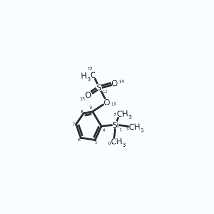 C[Si](C)(C)c1ccccc1OS(C)(=O)=O